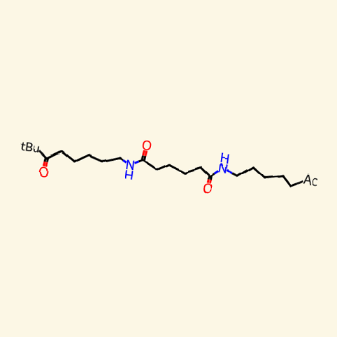 CC(=O)CCCCCNC(=O)CCCCC(=O)NCCCCCC(=O)C(C)(C)C